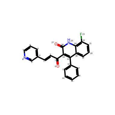 O=C(/C=C/c1cccnc1)c1c(-c2ccccc2)c2cccc(F)c2[nH]c1=O